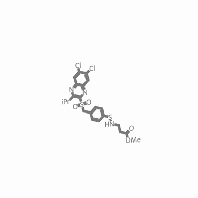 COC(=O)CCNSc1ccc(CS(=O)(=O)c2nc3cc(Cl)c(Cl)cc3nc2C(C)C)cc1